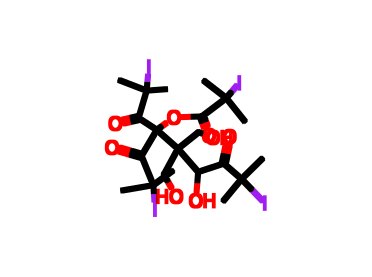 CC(C)(I)C(=O)OC(C(=O)C(C)(C)I)(C(=O)C(C)(C)I)C(CO)(CO)C(O)C(=O)C(C)(C)I